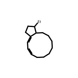 CCC1CCC2=CC=CCCCCCCCC21